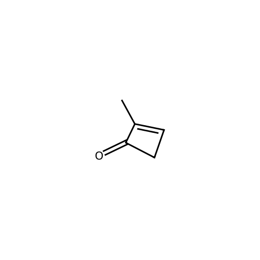 CC1=CCC1=O